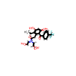 CCc1c(O)cc(O)c(C(=O)c2ccc(C(F)(F)F)cc2)c1CC(=O)N(CCO)CCO